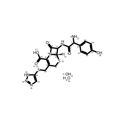 NC(C(=O)NC1C(=O)N2C(C(=O)O)=C(CSc3cnn[nH]3)CS[C@@H]12)c1ccc(O)cc1.O.O